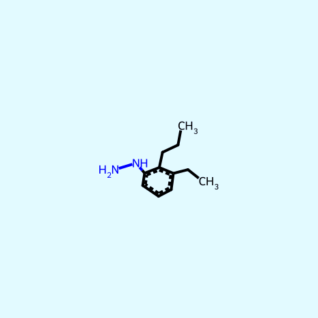 CCCc1c(CC)cccc1NN